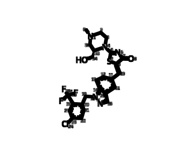 CN1CCN(C2=NC(=O)/C(=C/c3ccc4c(cnn4Cc4ccc(Cl)cc4C(F)(F)F)c3)S2)[C@@H](CO)C1